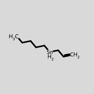 C=C[CH2][SnH2][CH2]CCCC